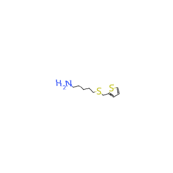 NCCCCCSCc1cccs1